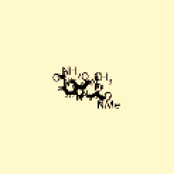 CNC(=O)C1Cn2nc3c(c2C(=O)N(C)O1)CN(C(N)=O)CC3